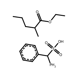 CCCC(C)C(=O)OCC.O=S(=O)(O)C(P)c1ccccc1